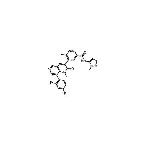 Cc1ccc(C(=O)Nc2ccnn2C)cc1-c1cc2cnnc(-c3ccc(F)cc3F)c2n(C)c1=O